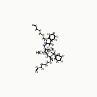 C=CCCCCCN1/C(=C/C2=C(O)C(=C/C3=[N+](CCCCCC=C)c4ccccc4C3(C)C)/C2=O)C(C)(C)c2ccccc21